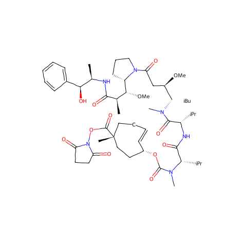 CC[C@H](C)[C@@H]([C@@H](CC(=O)N1CCC[C@H]1[C@H](OC)[C@@H](C)C(=O)N[C@H](C)[C@@H](O)c1ccccc1)OC)N(C)C(=O)[C@@H](NC(=O)[C@H](C(C)C)N(C)C(=O)O[C@H]1/C=C/CC[C@@](C)(C(=O)ON2C(=O)CCC2=O)CC1)C(C)C